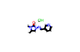 CC1CN(/N=C/c2cccnc2)C(=O)N1C.Cl